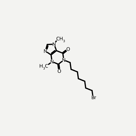 Cn1cnc2c1c(=O)n(CCCCCCCBr)c(=O)n2C